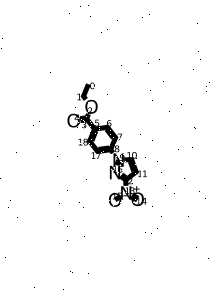 CCOC(=O)c1ccc(-n2ccc([N+](=O)[O-])n2)cc1